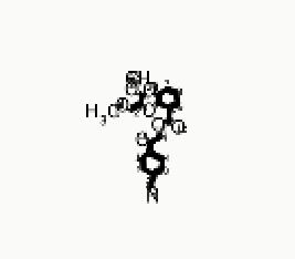 CO/C=C(/Oc1ccccc1C(=O)OCC(=O)c1ccc(C#N)cc1)C(=O)OC